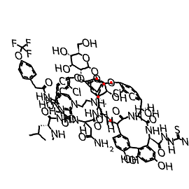 CN[C@H](CC(C)C)C(=O)N[C@H]1C(=O)N[C@@H](CC(N)=O)C(=O)N[C@H]2C(=O)N[C@H]3C(=O)N[C@H](C(=O)N[C@@H](C(=O)NNC(N)=S)c4cc(O)cc(O)c4-c4cc3ccc4O)[C@H](O)c3ccc(c(Cl)c3)Oc3cc2cc(c3O[C@@H]2O[C@H](CO)[C@@H](O)[C@H](O)[C@H]2O[C@H]2C[C@](C)(NCCn3ccc(NC(=O)Cc4ccc(OC(F)(F)F)cc4)nc3=O)[C@H](O)[C@H](C)O2)Oc2ccc(cc2Cl)[C@H]1O